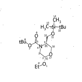 CCO[C@@H]1CN(C(=O)OC(C)(C)C)[C@@H](CO[Si](C)(C)C(C)(C)C)CO1